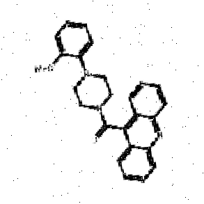 COc1ccccc1N1CCN(C(=O)c2c3ccccc3nc3ccccc23)CC1